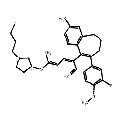 C=C/C(=C\C=C(/C)O[C@H]1CCN(CCCF)C1)C1=C(c2ccc(OC)c(F)c2)CCCc2cc(N)ccc21